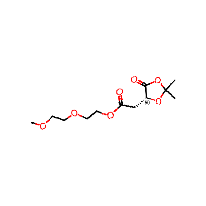 COCCOCCOC(=O)C[C@H]1OC(C)(C)OC1=O